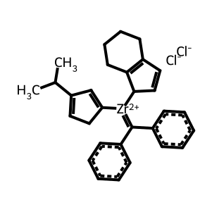 CC(C)C1=CC[C]([Zr+2](=[C](c2ccccc2)c2ccccc2)[CH]2C=CC3=C2CCCC3)=C1.[Cl-].[Cl-]